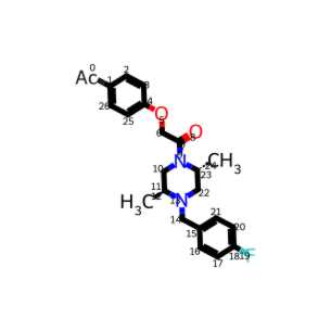 CC(=O)c1ccc(OCC(=O)N2C[C@H](C)N(Cc3ccc(F)cc3)C[C@H]2C)cc1